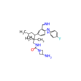 CC(C)CC(c1ccc(Nc2ccc(F)cc2)c(C=N)c1)C(C)(C)CNC(=O)N1CC(N)C1